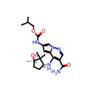 CC(C)COC(=O)Nc1cc2c(N[C@@H]3CC[C@@](C)(O)C3(C)C)c(C(N)=O)cnn2c1